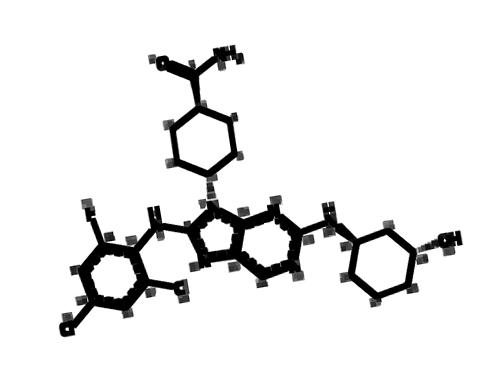 NC(=O)[C@H]1CC[C@H](n2c(Nc3c(F)cc(Cl)cc3Cl)nc3cnc(N[C@@H]4CCC[C@@H](O)C4)nc32)CC1